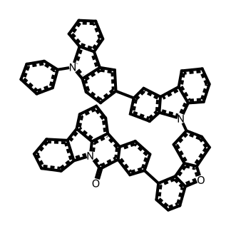 O=c1c2cc(-c3cccc4oc5ccc(-n6c7ccccc7c7cc(-c8ccc9c(c8)c8ccccc8n9-c8ccccc8)ccc76)cc5c34)ccc2c2cccc3c4ccccc4n1c23